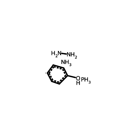 N.NN.Oc1cc[c]cc1.P